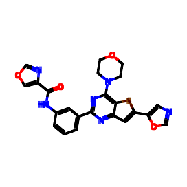 O=C(Nc1cccc(-c2nc(N3CCOCC3)c3sc(-c4cnco4)cc3n2)c1)c1cocn1